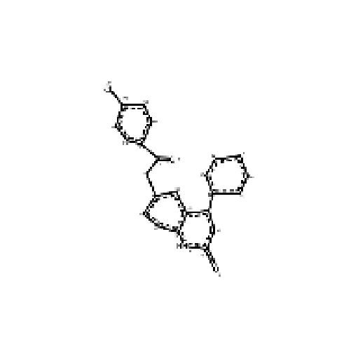 O=C(Cc1ccc2[nH]c(=O)cc(-c3ccccc3)c2c1)c1ccc(Cl)cc1